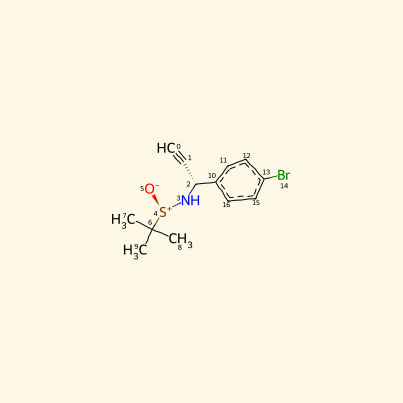 C#C[C@@H](N[S@+]([O-])C(C)(C)C)c1ccc(Br)cc1